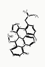 CN(C)Cc1ccc(Cl)cc1-c1[nH]cnc1C(c1ccccc1)C(OC=O)c1cccc(Cl)c1F